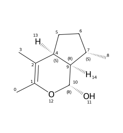 CC1=C(C)[C@H]2CC[C@H](C)[C@H]2[C@H](O)O1